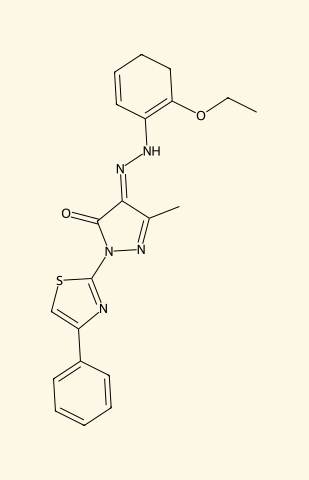 CCOC1=C(N/N=C2/C(=O)N(c3nc(-c4ccccc4)cs3)N=C2C)C=CCC1